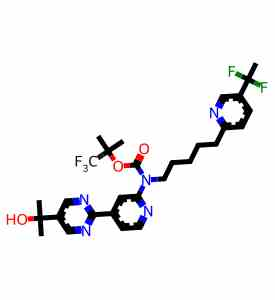 CC(C)(O)c1cnc(-c2ccnc(N(CCCCCc3ccc(C(C)(F)F)cn3)C(=O)OC(C)(C)C(F)(F)F)c2)nc1